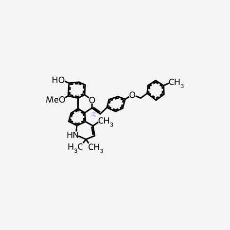 COc1c(O)ccc2c1-c1ccc3c(c1/C(=C/c1ccc(OCc4ccc(C)cc4)cc1)O2)C(C)=CC(C)(C)N3